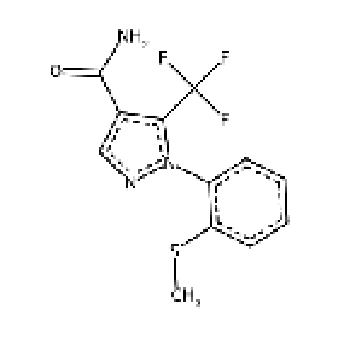 CSc1ccccc1-n1ncc(C(N)=O)c1C(F)(F)F